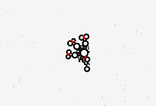 CCC1OC2C(CCCC(C)CC3OC4CCCC(C5CCCCCCC5)C(C5CCCCCCC5)CCC4OC3C3OC4CCCC(C5CCCCC5)C(C5CCCCCCC5)CCCC4OC3C3OC4CCC(C5CCCCCC5)C(C5CCCCCC5)CCCC4OC23)OC1CCCC(C1CCCCCCC1)[C@H](C)C1CCCCCCC1